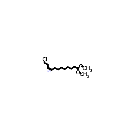 COC(CCCCCCC/C=C\CCCl)OC